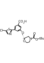 CC(C)(C)OC(=O)N1CCO[C@H](COc2cc(C(=O)O)cc(-c3ncc(Cl)s3)c2)C1